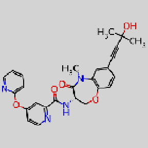 CN1C(=O)[C@@H](NC(=O)c2cc(Oc3ccccn3)ccn2)COc2ccc(C#CC(C)(C)O)cc21